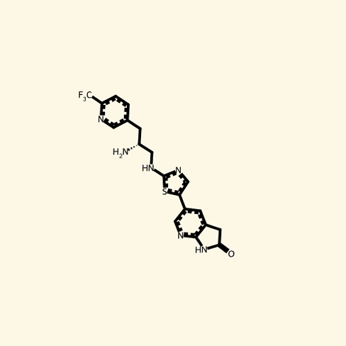 N[C@@H](CNc1ncc(-c2cnc3c(c2)CC(=O)N3)s1)Cc1ccc(C(F)(F)F)nc1